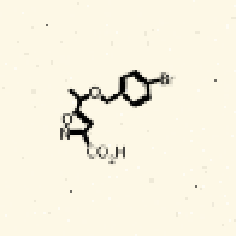 CC(OCc1ccc(Br)cc1)c1cc(C(=O)O)no1